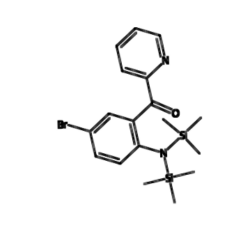 C[Si](C)(C)N(c1ccc(Br)cc1C(=O)c1ccccn1)[Si](C)(C)C